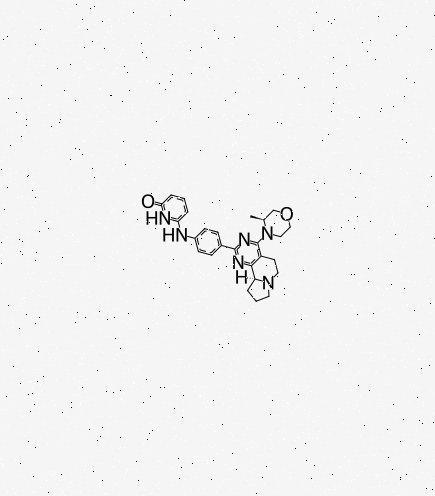 C[C@H]1COCCN1c1nc(-c2ccc(Nc3cccc(=O)[nH]3)cc2)nc2c1CCN1CCC[C@@H]21